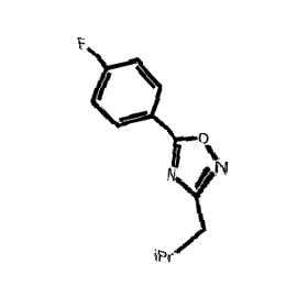 CC(C)Cc1noc(-c2ccc(F)cc2)n1